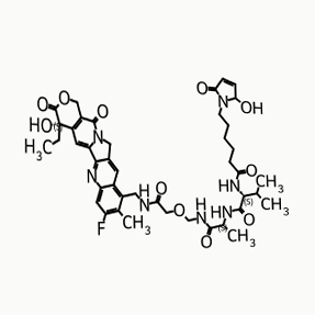 CC[C@@]1(O)C(=O)OCc2c1cc1n(c2=O)Cc2cc3c(CNC(=O)COCNC(=O)[C@H](C)NC(=O)[C@@H](NC(=O)CCCCCN4C(=O)C=CC4O)C(C)C)c(C)c(F)cc3nc2-1